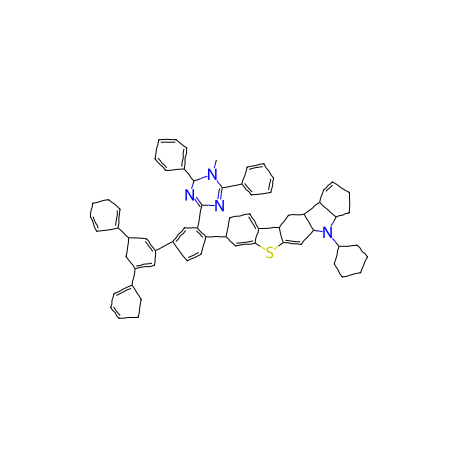 CN1C(c2ccccc2)=NC(c2cc(C3=CC(C4=CCCC=C4)CC(C4=CC=CCC4)=C3)ccc2C2C=C3SC4=CC5C(CC4C3=CC2)C2C=CCCC2N5C2CCCCC2)=NC1c1ccccc1